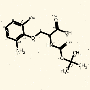 CC(C)(C)OC(=O)NC(COc1c(N)cccc1F)C(=O)O